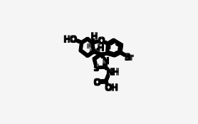 O=C(O)NC1=NC2(CS1)c1cc(Br)ccc1O[C@H]1CC(O)CC[C@@H]12